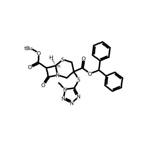 Cn1nnnc1SC1(C(=O)OC(c2ccccc2)c2ccccc2)CS[C@@H]2C(C(=O)OC(C)(C)C)C(=O)N2C1